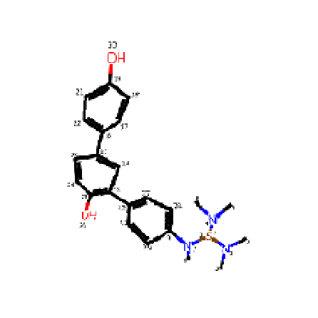 CN(C)[S+](N(C)C)N(C)c1ccc(-c2cc(-c3ccc(O)cc3)ccc2O)cc1